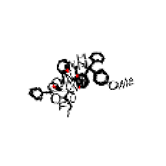 C#C[C@]1(OC(=O)c2ccccc2)[C@H](n2cc(F)c3c(NC(c4ccccc4)(c4ccccc4)c4ccc(OC)cc4)ncnc32)O[C@](F)(CI)[C@H]1OC(=O)c1ccccc1